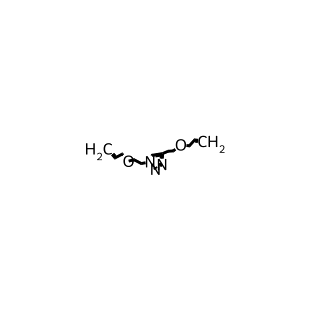 C=CCOCCc1cn(CCOCC=C)nn1